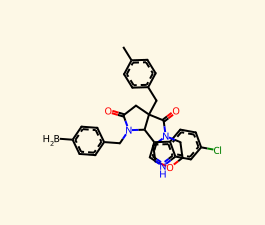 Bc1ccc(CN2C(=O)CC(Cc3ccc(C)cc3)(C(=O)N3CCOCC3)C2c2c[nH]c3cc(Cl)ccc23)cc1